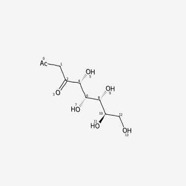 CC(=O)CC(=O)[C@H](O)[C@@H](O)[C@H](O)[C@H](O)CO